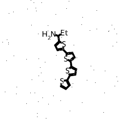 CCC(N)c1ccc(-c2ccc(-c3ccc(-c4cccs4)s3)s2)s1